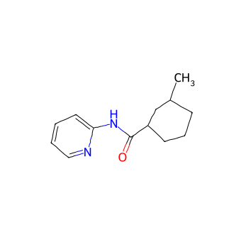 CC1CCCC(C(=O)Nc2ccccn2)C1